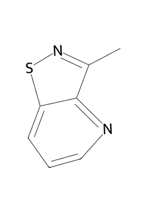 Cc1nsc2cccnc12